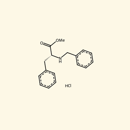 COC(=O)[C@@H](Cc1ccccc1)NCc1ccccc1.Cl